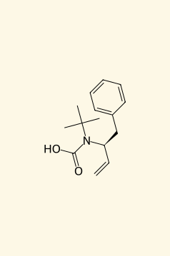 C=C[C@H](Cc1ccccc1)N(C(=O)O)C(C)(C)C